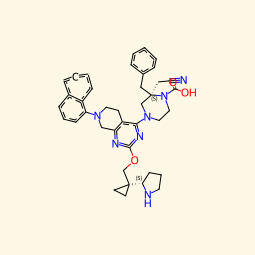 N#CC[C@@]1(Cc2ccccc2)CN(c2nc(OCC3([C@@H]4CCCN4)CC3)nc3c2CCN(c2cccc4ccccc24)C3)CCN1C(=O)O